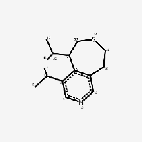 CC(C)c1cncc2c1C(C(C)C)CSCC2